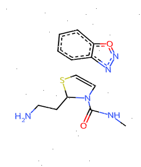 CNC(=O)N1C=CSC1CCN.c1ccc2onnc2c1